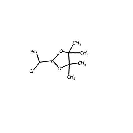 CCC(C)C(Cl)B1OC(C)(C)C(C)(C)O1